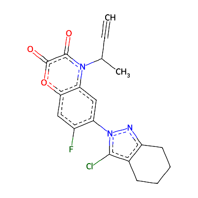 C#CC(C)n1c(=O)c(=O)oc2cc(F)c(-n3nc4c(c3Cl)CCCC4)cc21